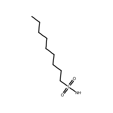 CCCCCCCCCS([NH])(=O)=O